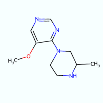 COc1cncnc1N1CCNC(C)C1